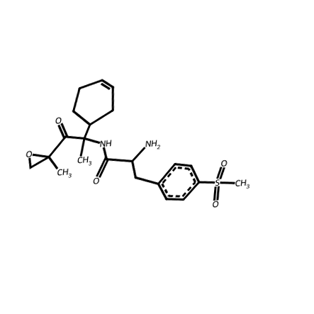 CC1(C(=O)C(C)(NC(=O)C(N)Cc2ccc(S(C)(=O)=O)cc2)C2CC=CCC2)CO1